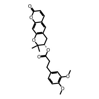 COc1ccc(CCC(=O)O[C@H]2Cc3cc4ccc(=O)oc4cc3OC2(C)C)cc1OC